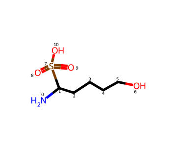 NC(CCCCO)S(=O)(=O)O